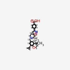 CC1(C)CCOc2c(C3CC3)cc(CN3CCC4(CC3)CC(c3ccc(C(=O)O)cc3)=NO4)cc21